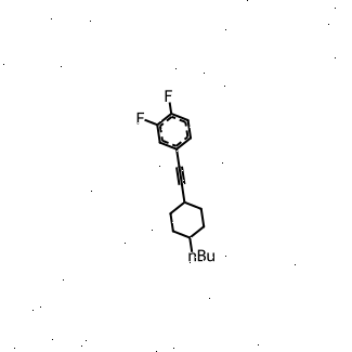 CCCCC1CCC(C#Cc2ccc(F)c(F)c2)CC1